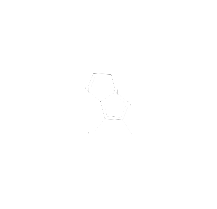 Cc1nn2c(c1Cl)N=CC2